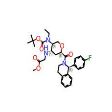 CCN(C(=O)OC(C)(C)C)[C@H]1CO[C@@H](C(=O)N2CCc3ccccc3[C@@H]2c2ccc(F)cc2)C[C@@H]1NCC(=O)OC